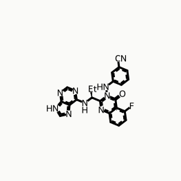 CC[C@H](Nc1ncnc2[nH]cnc12)c1nc2cccc(F)c2c(=O)n1Nc1cccc(C#N)c1